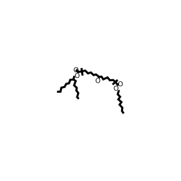 CCCCCCCCCOC(=O)C(C)(C)CCCCCC(=O)CCCCCC(C)(C)C(=O)OCC(CCCCCCC)CCCCCCC